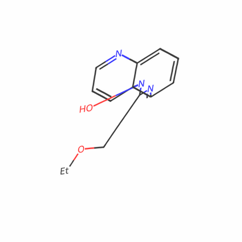 CCOCC1N=C2C=CC=C3N=CC=CC32N1O